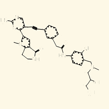 CN(Cc1ccc(NC(=O)Cc2cccc(C#Cc3cnc(N)nc3-c3cc4c(n3C)CCNC4=O)c2)cc1C(F)(F)F)CC(O)CO